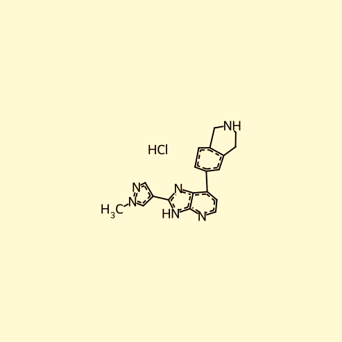 Cl.Cn1cc(-c2nc3c(-c4ccc5c(c4)CCNC5)ccnc3[nH]2)cn1